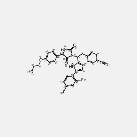 N#Cc1ccc(CC(c2ncc(-c3ccc(I)cc3F)[nH]2)N2C(=O)NC(c3ccc(OCCO)cc3)C2=O)cc1